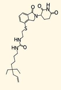 C=CCC(CC)(CC)CCCCNC(=O)NCCSc1cccc2c1CN(C1CCC(=O)NC1=O)C2=O